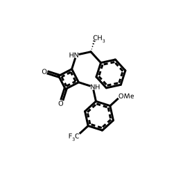 COc1ccc(C(F)(F)F)cc1Nc1c(N[C@H](C)c2ccccc2)c(=O)c1=O